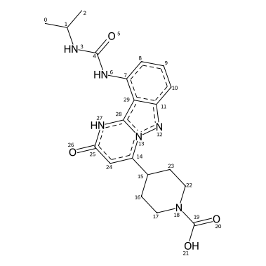 CC(C)NC(=O)Nc1cccc2nn3c(C4CCN(C(=O)O)CC4)cc(=O)[nH]c3c12